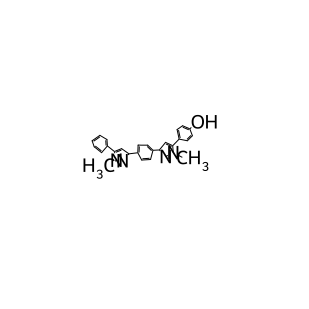 Cn1nc(-c2ccc(-c3cc(-c4ccc(O)cc4)n(C)n3)cc2)cc1-c1ccccc1